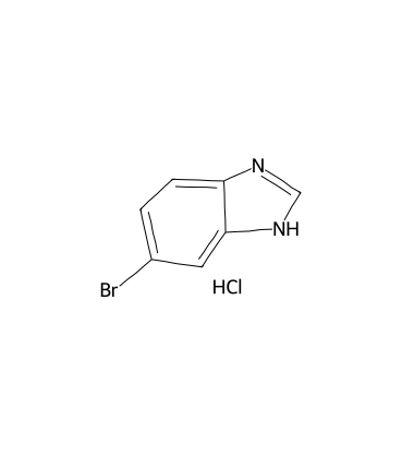 Brc1ccc2nc[nH]c2c1.Cl